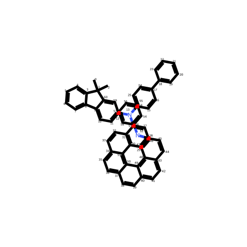 CC1(C)c2ccccc2-c2ccc(N(c3ccc(-c4ccccc4)cc3)c3cc4c5c6c3ccc3ccc7ccc8ccc9ccc(c5c9c8c7c36)n4-c3ccccc3)cc21